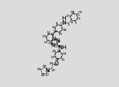 Cc1ccc(CNc2ccc(-c3cccc4nc(Nc5ccc(OCCN6CCCC6)cc5)nn34)cc2)cc1